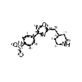 O=[SH](=O)c1ccc(-c2noc(CC3CCNCC3)n2)cc1